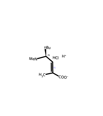 CCCC[C@@H](/C=C(\C)C(=O)[O-])NC.Cl.[H+]